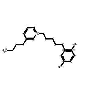 CCCCc1ccc[n+](CCCCCc2cc(Br)ccc2Br)c1